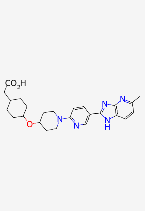 Cc1ccc2[nH]c(-c3ccc(N4CCC(OC5CCC(CC(=O)O)CC5)CC4)nc3)nc2n1